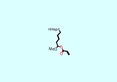 C=CC(=O)OC(CCCCCCCCCCC)OC